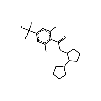 Cc1cc(C(F)(F)F)cc(C)c1C(=O)NC1CCCC1N1CCCC1